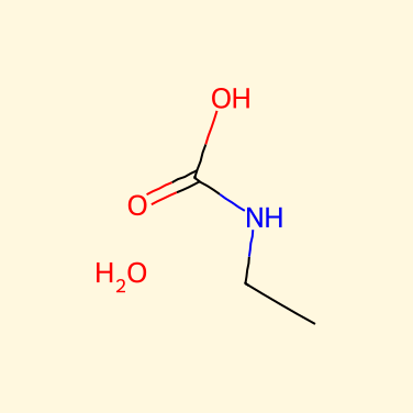 CCNC(=O)O.O